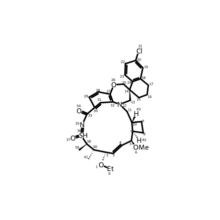 CCO[C@H]1/C=C/[C@H](OC)[C@@H]2CC[C@H]2CN2C[C@@]3(CCCc4cc(Cl)ccc43)COc3ccc(cc32)C(=O)/N=[SH](=O)\[C@H](C)[C@H]1C